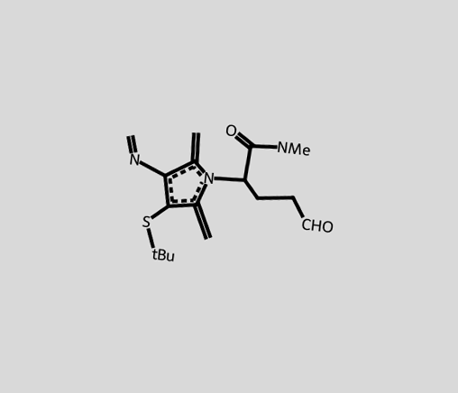 C=Nc1c(SC(C)(C)C)c(=C)n(C(CCC=O)C(=O)NC)c1=C